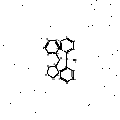 OC(c1cccnc1)(c1cccnc1)C(c1ccncc1)N1CCCC1